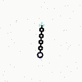 FC(F)(F)c1ccc(-c2ccc(-c3ccc(-c4ccc(/C5=C/C=C\C=C/CC5)cc4)cc3)cc2)cc1